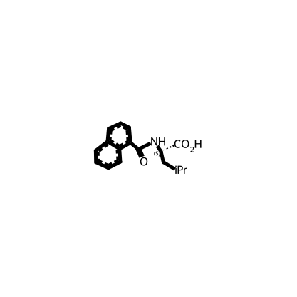 CC(C)C[C@H](NC(=O)c1cccc2ccccc12)C(=O)O